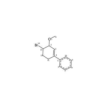 COC1C=C(c2ccccc2)CCC1Br